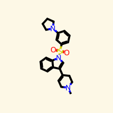 CN1CC=C(c2cn(S(=O)(=O)c3cccc(N4CCCC4)c3)c3ccccc23)CC1